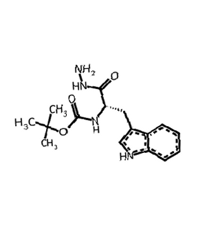 CC(C)(C)OC(=O)N[C@@H](Cc1c[nH]c2ccccc12)C(=O)NN